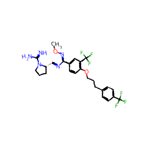 CO/N=C(\N=C\[C@@H]1CCCN1C(=N)N)c1ccc(OCCCc2ccc(C(F)(F)F)cc2)c(C(F)(F)F)c1